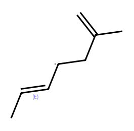 C=C(C)C[CH]/C=C/C